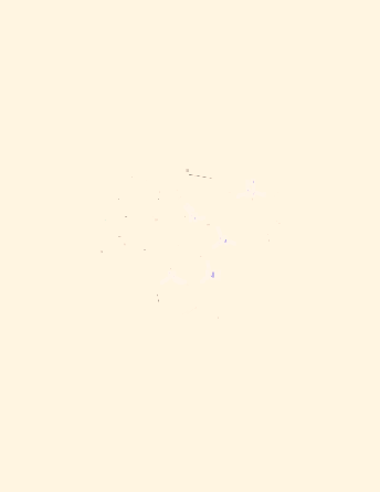 Cc1cccnc1NC(=O)N1CCCCNc2ccc(-c3cccc(C(F)(F)F)c3)nc21